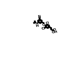 CC(C)Nc1cc(C#N)cc(COc2c(Cl)cc(CCC(=O)O)cc2Cl)c1